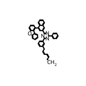 C=C/C=C\C=C/Cc1cccc(-c2nc(-c3ccccc3)nc(-c3cc(-c4cccc5oc6ccccc6c45)c4ccccc4c3)n2)c1